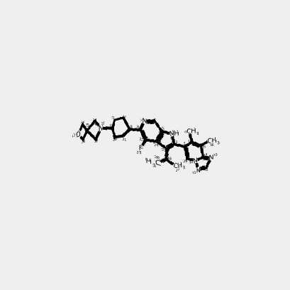 Cc1c(-c2[nH]c3cnc(C4CCC(N5CC6(COC6)C5)CC4)c(F)c3c2C(C)C)cn2ncnc2c1C